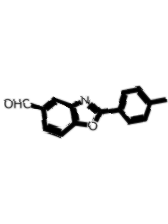 Cc1ccc(-c2nc3cc(C=O)ccc3o2)cc1